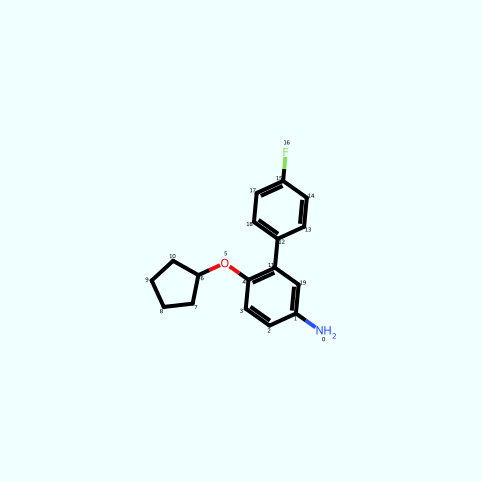 Nc1ccc(OC2CCCC2)c(-c2ccc(F)cc2)c1